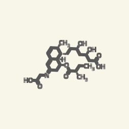 CC[C@H](C)C(=O)O[C@H]1CC(=NCC(=O)O)C=C2C=C[C@H](C)[C@H](CC[C@@H](O)C[C@@H](O)CC(=O)O)[C@H]21